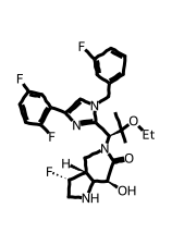 CCOC(C)(C)[C@H](c1nc(-c2cc(F)ccc2F)cn1Cc1cccc(F)c1)N1C[C@@H]2C(NC[C@@H]2F)[C@H](O)C1=O